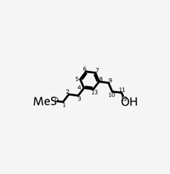 CSCCCc1cccc(CCCO)c1